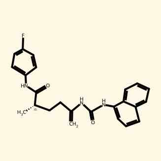 C=C(CC[C@H](C)C(=O)Nc1ccc(F)cc1)NC(=O)Nc1cccc2ccccc12